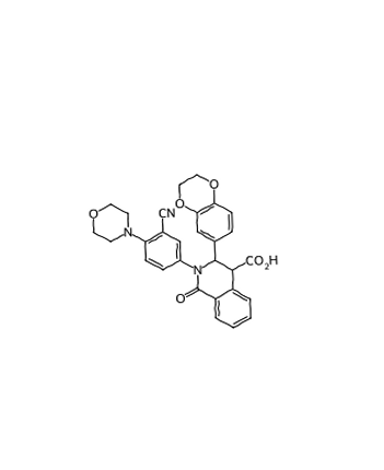 N#Cc1cc(N2C(=O)c3ccccc3C(C(=O)O)C2c2ccc3c(c2)OCCO3)ccc1N1CCOCC1